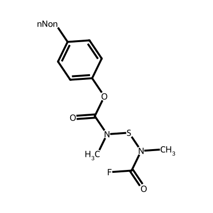 CCCCCCCCCc1ccc(OC(=O)N(C)SN(C)C(=O)F)cc1